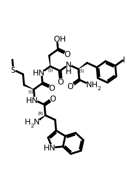 CSCC[C@H](NC(=O)[C@H](N)Cc1c[nH]c2ccccc12)C(=O)N[C@@H](CC(=O)O)C(=O)N[C@@H](Cc1cccc(I)c1)C(N)=O